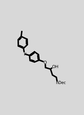 CCCCCCCCCCCCC(O)COc1ccc([I+]c2ccc(C)cc2)cc1